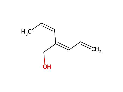 C=C/C=C(\C=C/C)CO